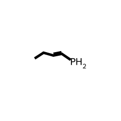 CCC=CP